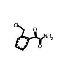 NC(=O)C(=O)c1ccccc1CCl